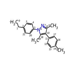 [CH2]Cc1ccc(-n2nc(C)c(-c3ccc(C)cc3)c2C)cc1